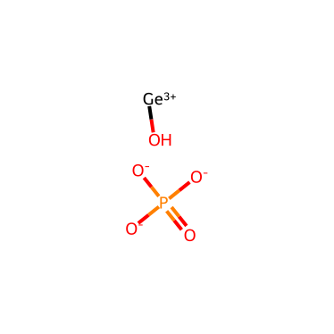 O=P([O-])([O-])[O-].[OH][Ge+3]